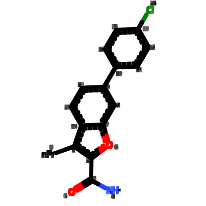 CCCc1c(C([NH])=O)oc2cc(-c3ccc(Cl)cc3)ccc12